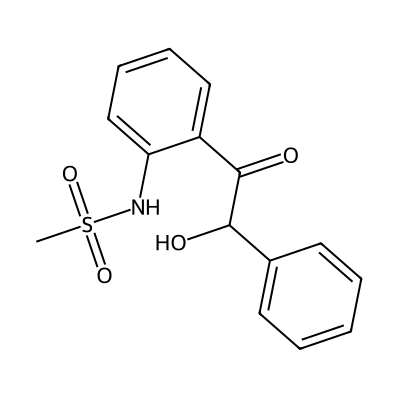 CS(=O)(=O)Nc1ccccc1C(=O)C(O)c1ccccc1